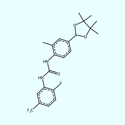 Cc1cc(B2OC(C)(C)C(C)(C)O2)ccc1NC(=O)Nc1cc(C(F)(F)F)ccc1F